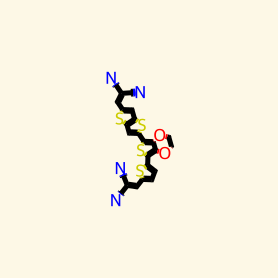 N#CC(C#N)=Cc1ccc(-c2sc(-c3cc4sc(C=C(C#N)C#N)cc4s3)c3c2OCCO3)s1